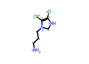 NCCCN1CNC(Cl)=C1Cl